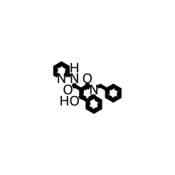 O=C(Nc1ccccn1)c1c(O)c2ccccc2n(Cc2ccccc2)c1=O